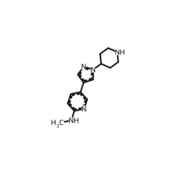 CNc1ccc(-c2cnn(C3CCNCC3)c2)cn1